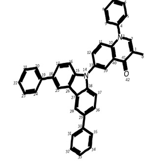 Cc1cn(-c2ccccc2)c2ccc(-n3c4ccc(-c5ccccc5)cc4c4cc(-c5ccccc5)ccc43)cc2c1=O